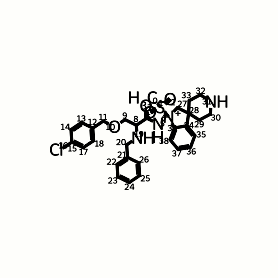 CS(=O)(=O)[N+]1(NC(=O)C(COCc2ccc(Cl)cc2)NCc2ccccc2)CC2(CCNCC2)c2ccccc21